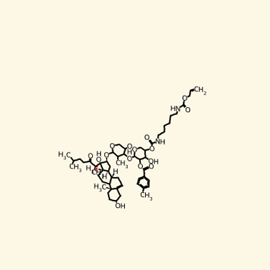 C=CCOC(=O)NCCCCCCNC(=O)OC1COC(OC2C(O)COC(O[C@H]3C[C@H]4[C@@H]5CC=C6C[C@@H](O)CC[C@]6(C)C5CC[C@]4(C)[C@@]3(O)[C@H](C)C(=O)CCC(C)C)C2C)C(OC(=O)c2ccc(C)cc2)C1O